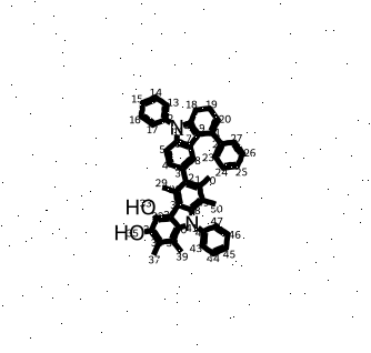 Cc1c(-c2ccc3c(c2)c2c(n3-c3ccccc3)CCC=C2c2ccccc2)c(C)c2c3c(O)c(O)c(C)c(C)c3n(-c3ccccc3)c2c1C